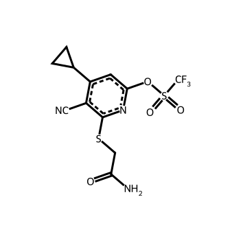 N#Cc1c(C2CC2)cc(OS(=O)(=O)C(F)(F)F)nc1SCC(N)=O